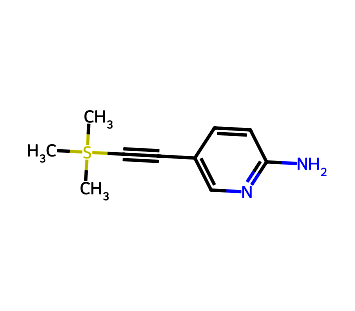 CS(C)(C)C#Cc1ccc(N)nc1